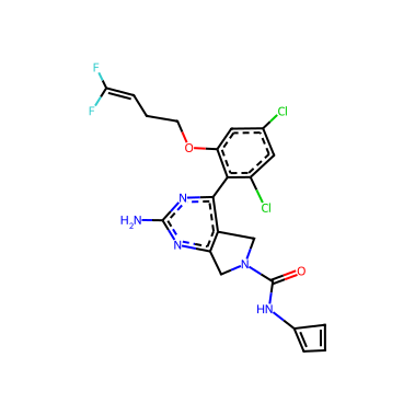 Nc1nc2c(c(-c3c(Cl)cc(Cl)cc3OCCC=C(F)F)n1)CN(C(=O)NC1=CC=C1)C2